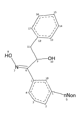 CCCCCCCCCc1cccc(C(=NO)C(O)Cc2ccccc2)c1